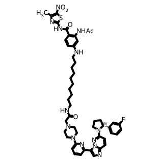 CC(=O)Nc1cc(NCCCCCCCCCCNC(=O)CN2CCN(c3cccc(-c4cnc5ccc(N6CCC[C@@H]6c6cccc(F)c6)nn45)n3)CC2)ccc1C(=O)Nc1nc(C)c([N+](=O)[O-])s1